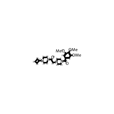 COc1cc(C(=O)N2CCN(CC(=O)N3CCN(C4CCC4)CC3)CC2)cc(OC)c1OC